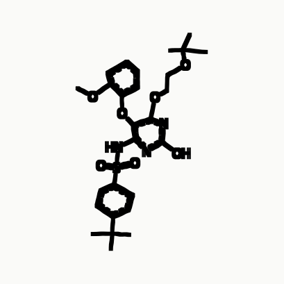 COc1ccccc1Oc1c(NS(=O)(=O)c2ccc(C(C)(C)C)cc2)nc(O)nc1OCCOC(C)(C)C